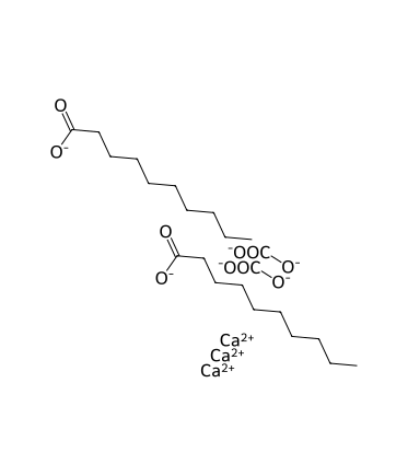 CCCCCCCCCC(=O)[O-].CCCCCCCCCC(=O)[O-].O=C([O-])[O-].O=C([O-])[O-].[Ca+2].[Ca+2].[Ca+2]